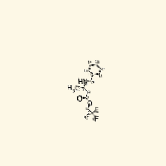 CC(CC(=O)OCC(F)(F)F)NCc1ccccc1